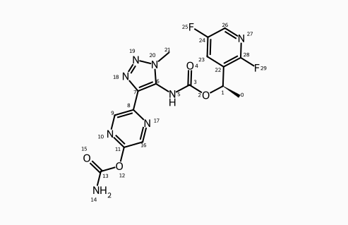 C[C@@H](OC(=O)Nc1c(-c2cnc(OC(N)=O)cn2)nnn1C)c1cc(F)cnc1F